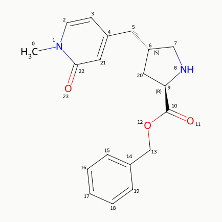 Cn1ccc(C[C@@H]2CN[C@@H](C(=O)OCc3ccccc3)C2)cc1=O